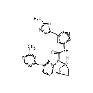 Cc1cc(-c2ccc3c(n2)N(C(=O)Nc2cncc(-c4cnc(C)o4)c2)[C@H]2CCN3C2)ccn1